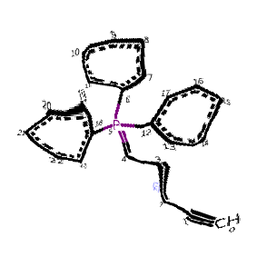 C#C/C=C/C=P(c1ccccc1)(c1ccccc1)c1ccccc1